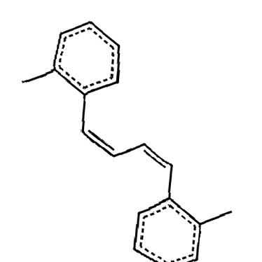 Cc1ccccc1/C=C\C=C/c1ccccc1C